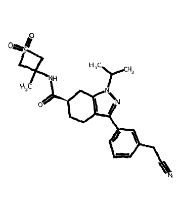 CC(C)n1nc(-c2cccc(CC#N)c2)c2c1C[C@H](C(=O)NC1(C)CS(=O)(=O)C1)CC2